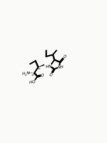 CCC(C)C1NC(=O)NC1=O.CC[C@@H](C)[C@@H](N)C(=O)O